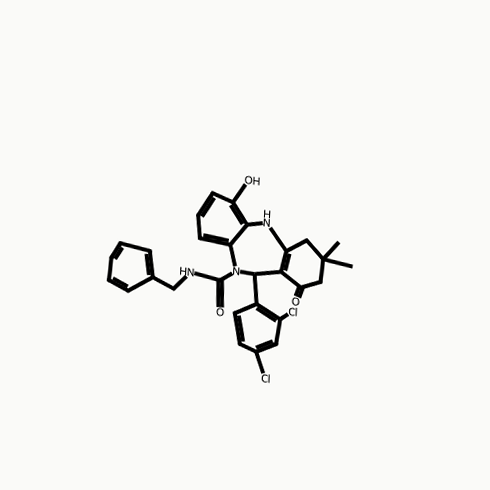 CC1(C)CC(=O)C2=C(C1)Nc1c(O)cccc1N(C(=O)NCc1ccccc1)C2c1ccc(Cl)cc1Cl